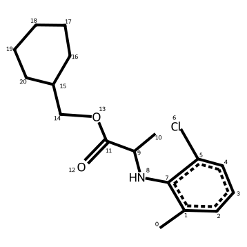 Cc1cccc(Cl)c1NC(C)C(=O)OCC1CCCCC1